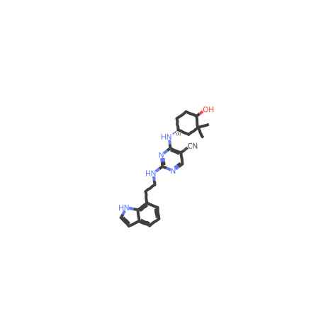 CC1(C)C[C@H](Nc2nc(NCCc3cccc4cc[nH]c34)ncc2C#N)CCC1O